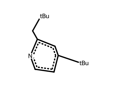 CC(C)(C)Cc1cc(C(C)(C)C)ccn1